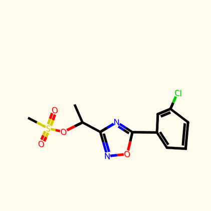 CC(OS(C)(=O)=O)c1noc(-c2cccc(Cl)c2)n1